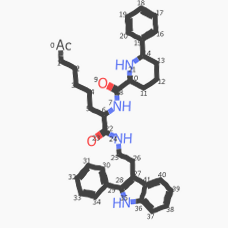 CC(=O)CCCCCC(NC(=O)C1CCCC(c2ccccc2)N1)C(=O)NCCc1c(-c2ccccc2)[nH]c2ccccc12